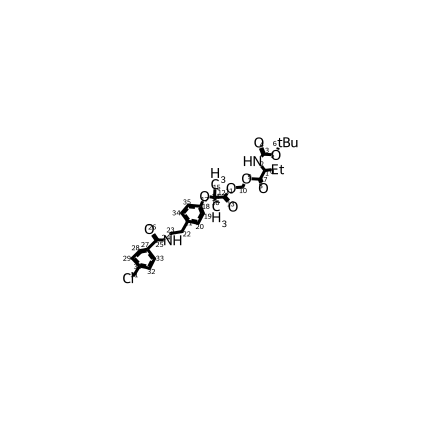 CCC(NC(=O)OC(C)(C)C)C(=O)OCOC(=O)C(C)(C)Oc1ccc(CCNC(=O)c2ccc(Cl)cc2)cc1